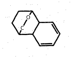 C1=CC2C3CCC(OC3)C2C=C1